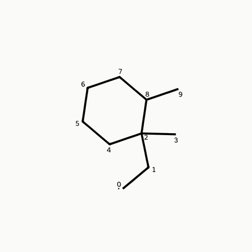 [CH2]CC1(C)CCCCC1C